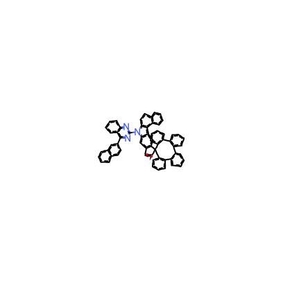 c1ccc2c(c1)-c1ccccc1-c1ccccc1C1(c3ccccc3-2)c2ccccc2-c2cc3c(cc21)c1c2ccccc2ccc1n3-c1nc(-c2ccc3ccccc3c2)c2ccccc2n1